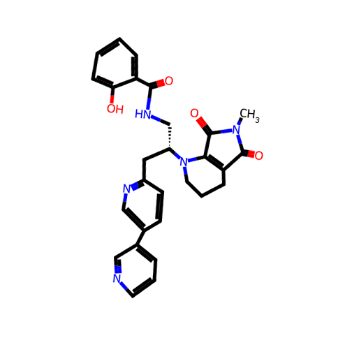 CN1C(=O)C2=C(C1=O)N([C@@H](CNC(=O)c1ccccc1O)Cc1ccc(-c3cccnc3)cn1)CCC2